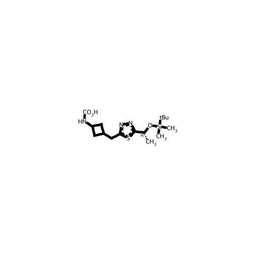 C[C@@H](O[Si](C)(C)C(C)(C)C)c1nnc(CC2CC(NC(=O)O)C2)s1